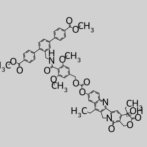 CCc1c2c(nc3ccc(OC(=O)OCc4cc(OC)c(C(=O)NCc5cc(-c6ccc(C(=O)OC)cc6)ccc5-c5ccc(C(=O)OC)cc5)c(OC)c4)cc13)-c1cc3c(c(=O)n1C2)COC(=O)[C@]3(O)CC